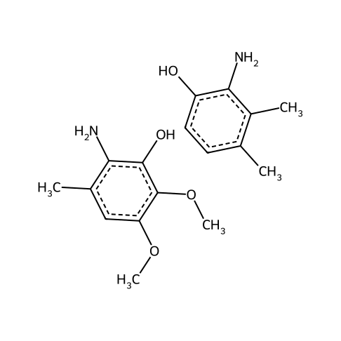 COc1cc(C)c(N)c(O)c1OC.Cc1ccc(O)c(N)c1C